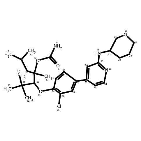 CC(C)CC(C)(OC(N)=O)C(Oc1ccc(-c2ccnc(NC3CCCOC3)c2)cc1Cl)C(C)(C)C